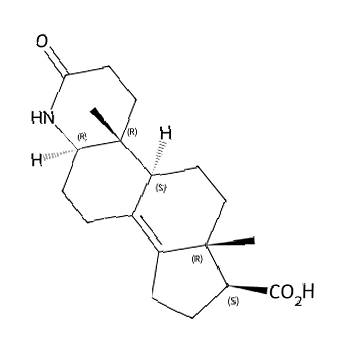 C[C@]12CCC(=O)N[C@@H]1CCC1=C3CC[C@H](C(=O)O)[C@@]3(C)CC[C@@H]12